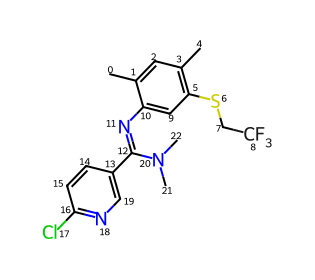 Cc1cc(C)c(SCC(F)(F)F)cc1/N=C(/c1ccc(Cl)nc1)N(C)C